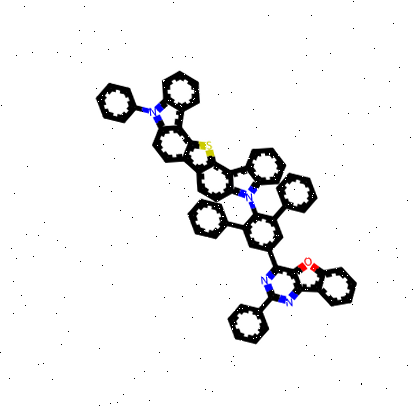 c1ccc(-c2nc(-c3cc(-c4ccccc4)c(-n4c5ccccc5c5c6sc7c(ccc8c7c7ccccc7n8-c7ccccc7)c6ccc54)c(-c4ccccc4)c3)c3oc4ccccc4c3n2)cc1